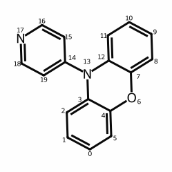 c1ccc2c(c1)Oc1ccccc1N2c1ccncc1